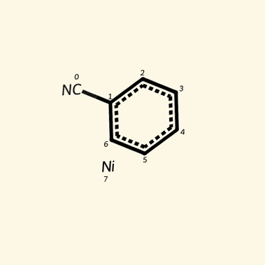 N#Cc1ccccc1.[Ni]